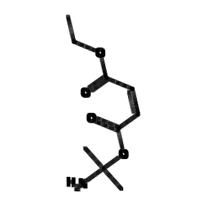 CCOC(=O)/C=C\C(=O)OC(C)(C)N